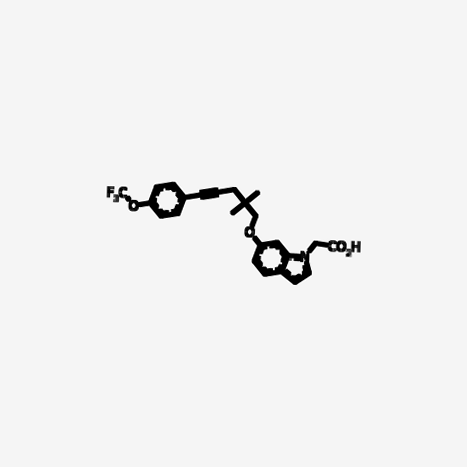 CC(C)(CC#Cc1ccc(OC(F)(F)F)cc1)COc1ccc2ccn(CC(=O)O)c2c1